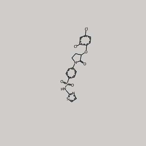 O=C1C(Oc2ccc(Cl)cc2Cl)CCN1c1ccc(S(=O)(=O)Nc2nccs2)cc1